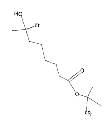 CCCC(C)(C)OC(=O)CCCCCC(C)(O)CC